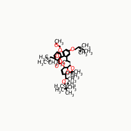 COCOc1cc(OCC[Si](C)(C)C)cc(C(C)C[C@@H]2OC(C)(C)OC2C(/C=C\[C@@H](C)C(C)O[Si](C)(C)C(C)(C)C)OC(=O)c2ccccc2)c1C(=O)OCC[Si](C)(C)C